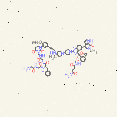 COc1ccc(C#CCNC2(C)CCN(C3CCN(c4nc([C@@](COCNC(=O)CCC(N)=O)(OC5CC5)c5ccccc5)c5cc(-c6cn(C)c(=O)c7[nH]ccc67)ccc5n4)CC3)CC2)cc1N1CCC(=O)N(CNC(=O)CNC(=O)[C@H](Cc2ccccc2)NC(=O)CNC(=O)CN)C1=O